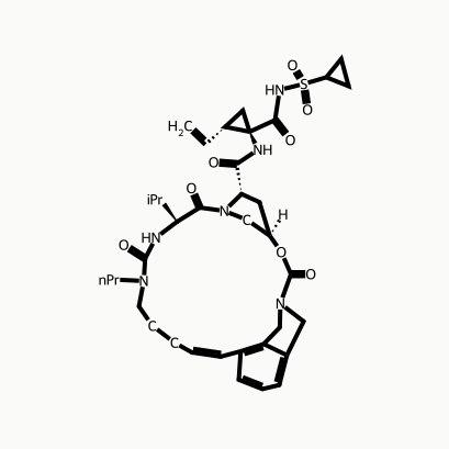 C=C[C@@H]1C[C@]1(NC(=O)[C@@H]1C[C@@H]2CN1C(=O)[C@H](C(C)C)NC(=O)N(CCC)CCC/C=C/c1cccc3c1CN(C3)C(=O)O2)C(=O)NS(=O)(=O)C1CC1